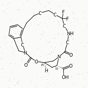 O=C(O)[C@@H]1C[C@@H]2CN1C(=O)CNCC(F)(F)CCCCCc1cccc3c1CN(C3)C(=O)O2